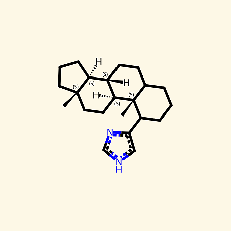 C[C@@]12CCC[C@H]1[C@@H]1CCC3CCCC(c4c[nH]cn4)[C@]3(C)[C@H]1CC2